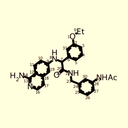 CCOc1cccc(C(Nc2ccc3c(N)nccc3c2)C(=O)NCc2cccc(NC(C)=O)c2)c1